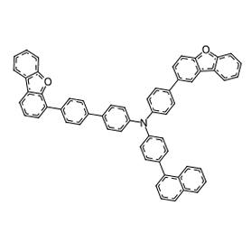 c1ccc2c(-c3ccc(N(c4ccc(-c5ccc(-c6cccc7c6oc6ccccc67)cc5)cc4)c4ccc(-c5ccc6oc7ccccc7c6c5)cc4)cc3)cccc2c1